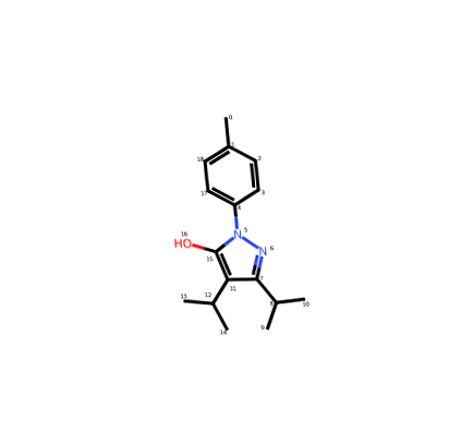 Cc1ccc(-n2nc(C(C)C)c(C(C)C)c2O)cc1